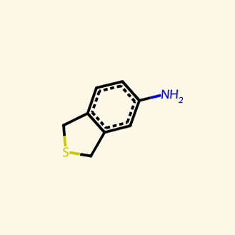 Nc1ccc2c(c1)CSC2